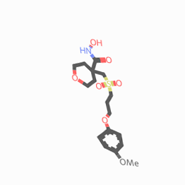 COc1ccc(OCCCS(=O)(=O)CC2(C(=O)NO)CCOCC2)cc1